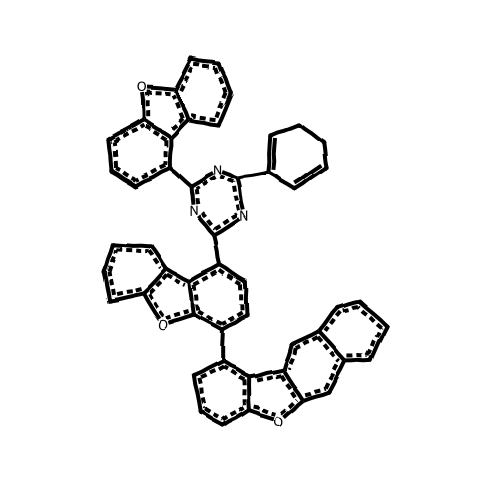 C1=CC(c2nc(-c3cccc4oc5ccccc5c34)nc(-c3ccc(-c4cccc5oc6cc7ccccc7cc6c45)c4oc5ccccc5c34)n2)=CCC1